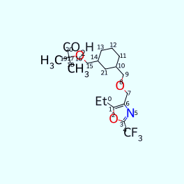 CCc1oc(C(F)(F)F)nc1COCC1CCCC(COC(C)(C)C(=O)O)C1